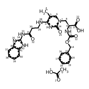 CC(=O)O.Cc1cn(C[C@H](NC(=O)OCc2ccccc2)C(=O)O)c(=O)nc1NCCC(=O)Nc1nc2ccccc2[nH]1